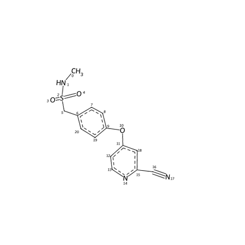 CNS(=O)(=O)Cc1ccc(Oc2ccnc(C#N)c2)cc1